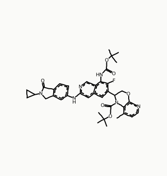 Cc1ccnc2c1N(C(=O)OC(C)(C)C)C(c1cc3cc(Nc4ccc5c(c4)CN(C4CC4)C5=O)ncc3c(NC(=O)OC(C)(C)C)c1F)CO2